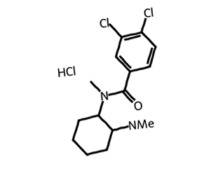 CNC1CCCCC1N(C)C(=O)c1ccc(Cl)c(Cl)c1.Cl